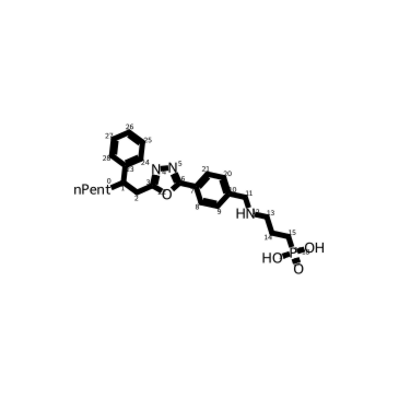 CCCCCC(Cc1nnc(-c2ccc(CNCCCP(=O)(O)O)cc2)o1)c1ccccc1